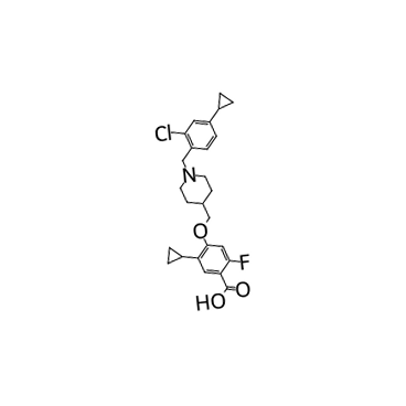 O=C(O)c1cc(C2CC2)c(OCC2CCN(Cc3ccc(C4CC4)cc3Cl)CC2)cc1F